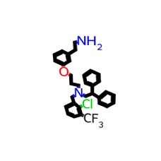 NCCc1cccc(OCCCN(Cc2cccc(C(F)(F)F)c2Cl)CC(c2ccccc2)c2ccccc2)c1